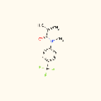 C=C(C)C(=O)N(C)c1ccc(C(F)(F)F)cc1